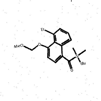 CCc1cccc2c(C(=O)[Si](C)(C)C(C)(C)C)ccc(OCOC)c12